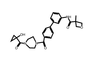 CC1(C(=O)Nc2cccc(-c3ccc(C(=O)N4CCN(C(=O)C5(O)CC5)CC4)cc3)c2)COC1